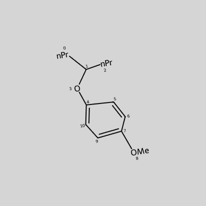 CCCC(CCC)Oc1ccc(OC)cc1